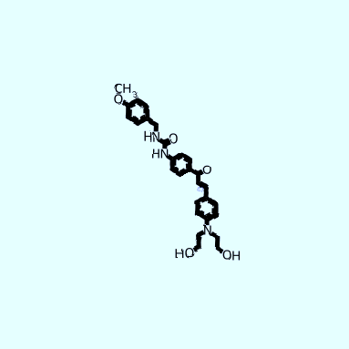 COc1ccc(CNC(=O)Nc2ccc(C(=O)/C=C/c3ccc(N(CCO)CCO)cc3)cc2)cc1